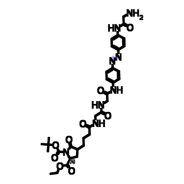 CCOC(=O)[C@@H]1CC(CCCC(=O)NCC(=O)NCC(=O)Nc2ccc(/N=N/c3ccc(NC(=O)CN)cc3)cc2)C(=O)N1C(=O)OC(C)(C)C